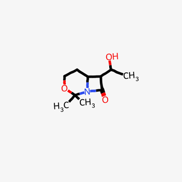 CC(O)C1C(=O)N2C1CCOC2(C)C